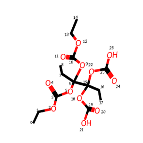 CCOC(=O)OC(CC)(OC(=O)OCC)C(CC)(OC(=O)O)OC(=O)O